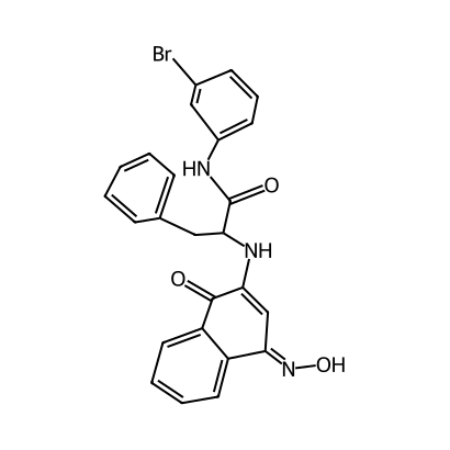 O=C1C(NC(Cc2ccccc2)C(=O)Nc2cccc(Br)c2)=CC(=NO)c2ccccc21